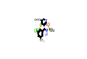 CC(C)(C)[S+]([O-])NCc1cc(C(F)(F)F)cc(Cl)c1Sc1ccncc1C=O